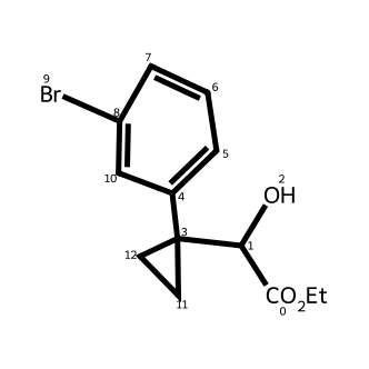 CCOC(=O)C(O)C1(c2cccc(Br)c2)CC1